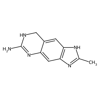 Cc1nc2cc3c(cc2[nH]1)CNC(N)=N3